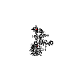 CC(=O)NCC(=O)N[C@H](C(=O)N[C@@H](C)C(=O)Nc1ccc(COC(=O)NCCOC23CC4(C)CC(C)(CC(Cn5ncc(-c6ccc(N7CCn8cnc(C(=O)Nc9nc%10ccccc%10s9)c8C7)nc6C(=O)O)c5C)(C4)C2)C3)c(CC[C@@H]2O[C@H](C(=O)O)[C@@H](O)[C@H](O)[C@H]2O)c1)C(C)C